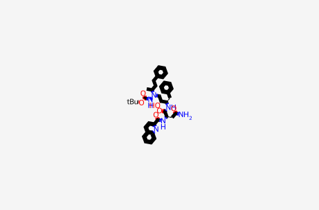 CC(CCc1ccccc1)N(C[C@@H](O)[C@H](Cc1ccccc1)NC(=O)[C@H](CC(N)=O)NC(=O)c1ccc2ccccc2n1)NC(=O)OC(C)(C)C